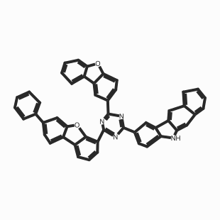 c1ccc(-c2ccc3c(c2)oc2c(-c4nc(-c5ccc6[nH]c7cc8ccccc8cc7c6c5)nc(-c5ccc6oc7ccccc7c6c5)n4)cccc23)cc1